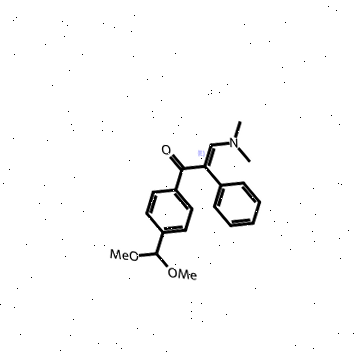 COC(OC)c1ccc(C(=O)/C(=C/N(C)C)c2ccccc2)cc1